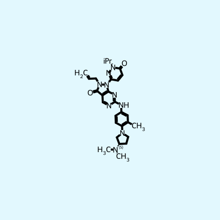 C=CCn1c(=O)c2cnc(Nc3ccc(N4CC[C@H](N(C)C)C4)c(C)c3)nc2n1-c1ccc(=O)n(C(C)C)n1